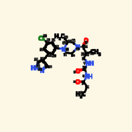 CCC(=O)NC(=O)NC[C@H](C)C(=O)N1CCN(c2cc(Cl)cc(-c3cn[nH]c3)c2)[C@@H](C)C1